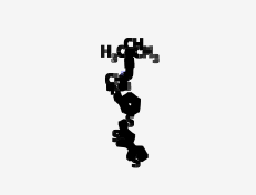 CCN(C/C=C/C#CC(C)(C)C)Cc1cccc(SCc2cc(-c3ccsc3)cs2)c1